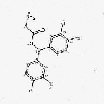 Cc1ccc(B(OC(=O)CN)c2ccc(C)c(Cl)c2)cc1Cl